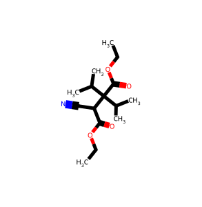 CCOC(=O)C(C#N)C(C(=O)OCC)(C(C)C)C(C)C